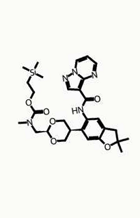 CN(C[C@H]1OC[C@@H](c2cc3c(cc2NC(=O)c2cnn4cccnc24)CC(C)(C)O3)CO1)C(=O)OCC[Si](C)(C)C